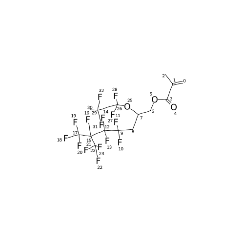 C=C(C)C(=O)OCC(CC(F)(F)C(F)(F)C(F)(C(F)(F)F)C(F)(F)F)OC(F)(F)C(C)(F)F